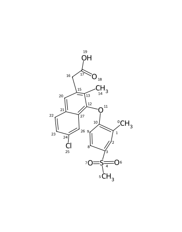 Cc1cc(S(C)(=O)=O)ccc1Oc1c(C)c(CC(=O)O)cc2ccc(Cl)cc12